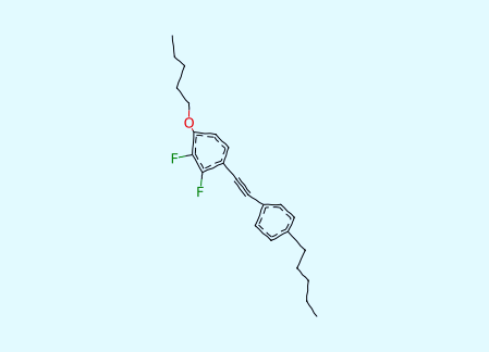 CCCCCOc1ccc(C#Cc2ccc(CCCCC)cc2)c(F)c1F